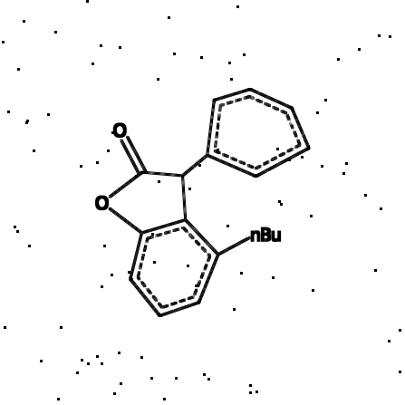 CCCCc1cccc2c1C(c1ccccc1)C(=O)O2